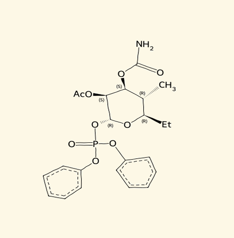 CC[C@H]1O[C@H](OP(=O)(Oc2ccccc2)Oc2ccccc2)[C@@H](OC(C)=O)[C@@H](OC(N)=O)[C@@H]1C